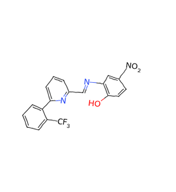 O=[N+]([O-])c1ccc(O)c(/N=C/c2cccc(-c3ccccc3C(F)(F)F)n2)c1